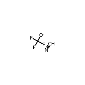 C#N.[O]C(F)(F)F